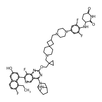 CCc1c(F)ccc2cc(O)cc(-c3ncc4c(N5CC6CCC(C5)N6)nc(OCC5(CN6CCC7(CC6)CC(CN6CCN(c8cc(F)c(NC9CCC(=O)NC9=O)c(F)c8)CC6)C7)CC5)nc4c3F)c12